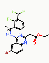 CCOC(=O)Cc1nc(N[C@H](C)c2cccc(C(F)F)c2F)c2cc(Br)ccc2n1